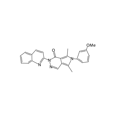 COc1cccc(-n2c(C)c3cnn(-c4ccc5ccccc5n4)c(=O)c3c2C)c1